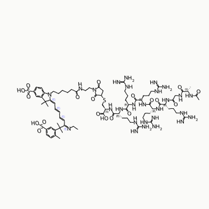 CC\N=C(/C=C/C=C/C=C1/N(CCCCCC(=O)NCCN2C(=O)CC(SC[C@@H](NC(=O)[C@@H](CCCNC(=N)N)NC(=O)[C@@H](CCCNC(=N)N)NC(=O)[C@@H](CCCNC(=N)N)NC(=O)[C@@H](CCCNC(=N)N)NC(=O)[C@@H](CCCNC(=N)N)NC(=O)CNC(=O)[C@H](C)NC(C)=O)C(=O)O)C2=O)c2ccc(S(=O)(=O)O)cc2C1(C)C)C(C)(C)c1cc(S(=O)(=O)O)ccc1C